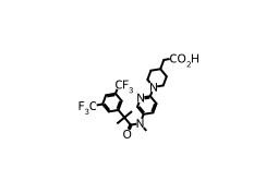 CN(C(=O)C(C)(C)c1cc(C(F)(F)F)cc(C(F)(F)F)c1)c1ccc(N2CCC(CC(=O)O)CC2)nc1